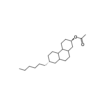 CCCCCC[C@@H]1CCC2C(CCC3C[C@H](OC(C)=O)CCC32)C1